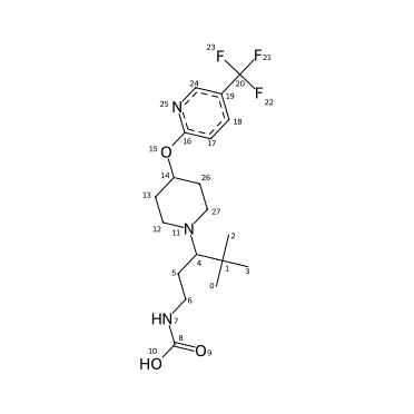 CC(C)(C)C(CCNC(=O)O)N1CCC(Oc2ccc(C(F)(F)F)cn2)CC1